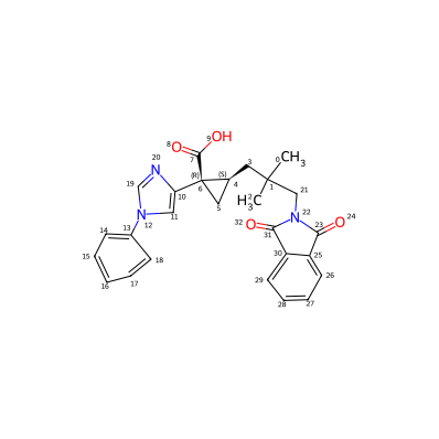 CC(C)(C[C@H]1C[C@]1(C(=O)O)c1cn(-c2ccccc2)cn1)CN1C(=O)c2ccccc2C1=O